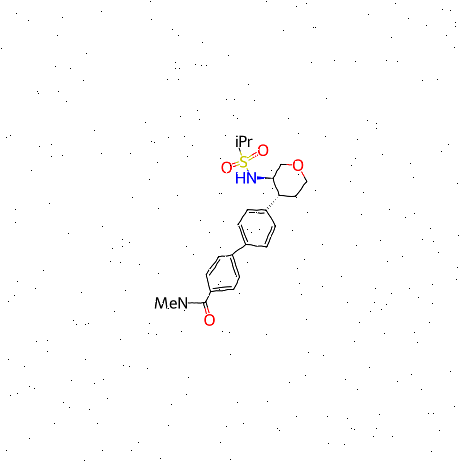 CNC(=O)c1ccc(-c2ccc([C@H]3CCOC[C@@H]3NS(=O)(=O)C(C)C)cc2)cc1